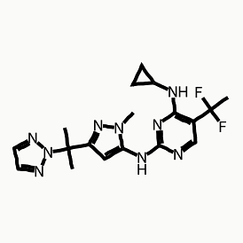 Cn1nc(C(C)(C)n2nccn2)cc1Nc1ncc(C(C)(F)F)c(NC2CC2)n1